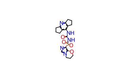 O=C(Nc1c2c(nc3c1CCC3)CCC2)NS(=O)(=O)c1ncn2c1OCCC2